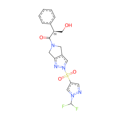 O=C([C@H](CO)c1ccccc1)N1Cc2cn(S(=O)(=O)c3cnn(C(F)F)c3)nc2C1